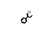 CCC(=CCl)c1ccccc1